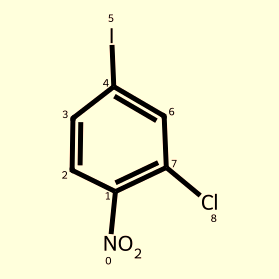 O=[N+]([O-])c1ccc(I)cc1Cl